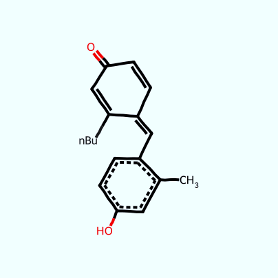 CCCCC1=CC(=O)C=C/C1=C/c1ccc(O)cc1C